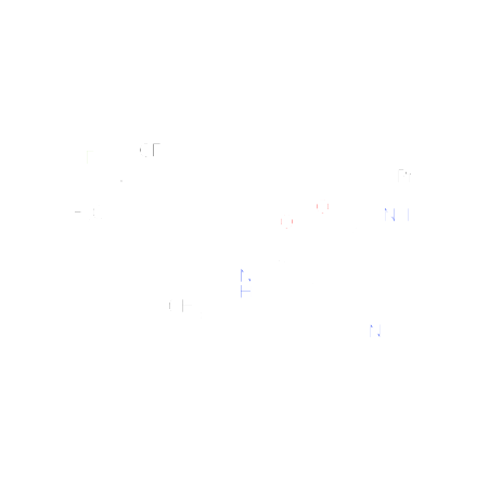 Cc1cc(C(F)(C(F)(F)F)C(F)(F)F)ccc1NC(=O)c1ccncc1C(=O)NC(C)C